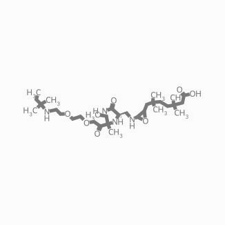 CCC(C)(C)NCCOCCOCC(=O)C(C)(CC)N[C@H](CNC1OC1CC(C)(C)CCC(C)(C)CC(=O)O)C(N)=O